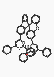 C1=C(c2ccccc2)N=C(c2ccccc2)NC1c1ccc2c(c1)Oc1ccccc1C21c2ccccc2-c2ccc(-c3cc(-c4ccccc4)nc(-c4ccccc4)n3)cc21